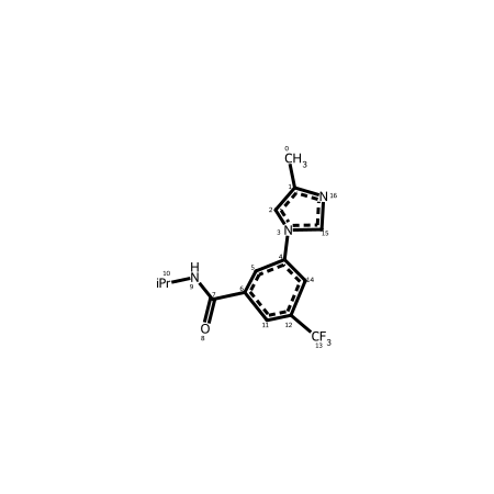 Cc1cn(-c2cc(C(=O)NC(C)C)cc(C(F)(F)F)c2)cn1